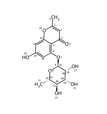 Cc1cc(=O)c2c(O[C@@H]3O[C@@H](C)[C@H](O)[C@@H](O)[C@H]3O)cc(O)cc2o1